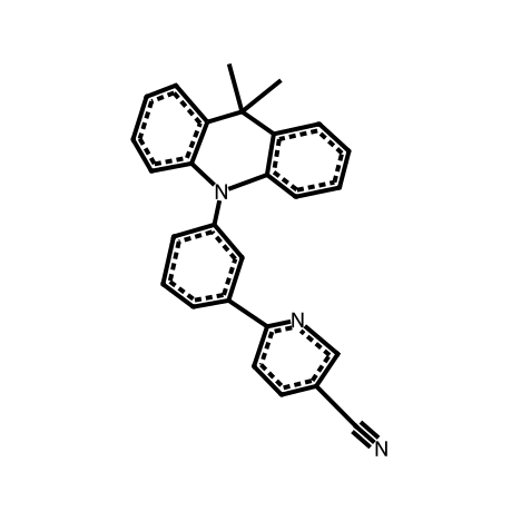 CC1(C)c2ccccc2N(c2cccc(-c3ccc(C#N)cn3)c2)c2ccccc21